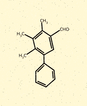 Cc1c([C]=O)cc(-c2ccccc2)c(C)c1C